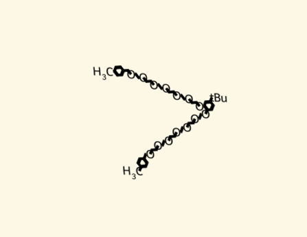 Cc1ccc(COCCOCCOCCOCCOCCOCCOc2ccc(C(C)(C)C)cc2OCCOCCOCCOCCOCCOCCOCc2ccc(C)cc2)cc1